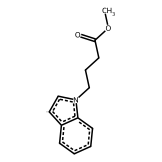 COC(=O)CCCn1c[c]c2ccccc21